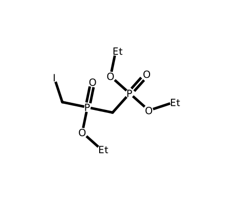 CCOP(=O)(CI)CP(=O)(OCC)OCC